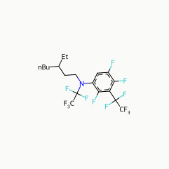 CCCCC(CC)CCN(c1cc(F)c(F)c(C(F)(F)C(F)(F)F)c1F)C(F)(F)C(F)(F)F